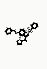 CC(c1cn(S(=O)(=O)c2ccccc2)c2ccc(OCc3ccccc3)cc12)C1CCCN1